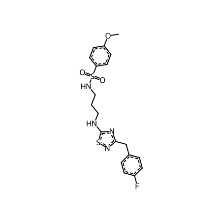 COc1ccc(S(=O)(=O)NCCCNc2nc(Cc3ccc(F)cc3)ns2)cc1